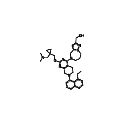 CCc1cccc2cccc(N3CCc4c(nc(OCC5(CN(C)C)CC5)nc4N4CCCn5nc(CO)cc5C4)C3)c12